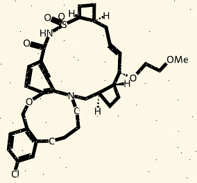 COCCO[C@H]1/C=C/C[C@@H]2CC[C@H]2S(=O)(=O)NC(=O)c2ccc3c(c2)N(CCCCc2cc(Cl)ccc2CO3)C[C@@H]2CC[C@H]21